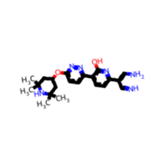 CC1(C)CC(Oc2ccc(-c3ccc(/C(C=N)=C/N)nc3O)nn2)CC(C)(C)N1